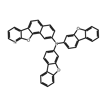 c1ccc2c(c1)oc1cc(N(c3ccc4c(c3)oc3ccccc34)c3ccc4ccc5c6cccnc6oc5c4c3)ccc12